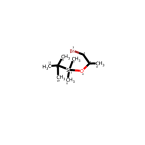 CC(CBr)O[Si](C)(C)C(C)(C)C